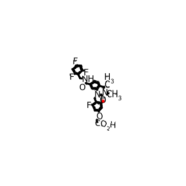 CC1c2ccc(C(=O)NCc3c(F)cc(F)cc3F)cc2N(Cc2c(F)cc(OCC(=O)O)cc2F)C(=O)N1C